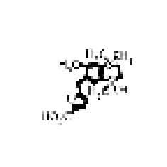 Cc1cc2c(cc1Cc1ccc(C(=O)O)o1)[Si](C)(C)CC[Si]2(C)C